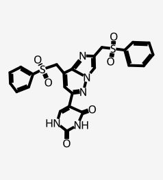 O=c1[nH]cc(-c2cc(CS(=O)(=O)c3ccccc3)c3nc(CS(=O)(=O)c4ccccc4)cn3n2)c(=O)[nH]1